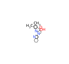 Cc1cc2c(cc1C)C(=O)C1(O)CCN(c3cnc4c(c3)CCCC4)C1=N2